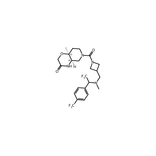 CN(CC1CN(C(=O)N2CC[C@]3(C)OCC(=O)N[C@@H]3C2)C1)C(c1ccc(C(F)(F)F)cc1)C(F)(F)F